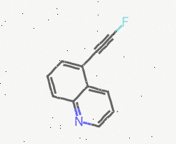 FC#Cc1cccc2nc[c]cc12